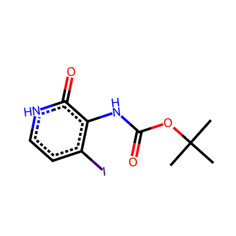 CC(C)(C)OC(=O)Nc1c(I)cc[nH]c1=O